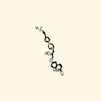 CC#Cc1ccc(N2CCN(C[C@@H](O)COc3ccc4[nH]c(=O)ccc4c3)CC2)cc1